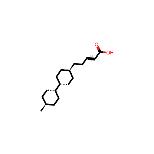 C[C@H]1CC[C@H]([C@H]2CC[C@H](CC/C=C/C(=O)O)CC2)CC1